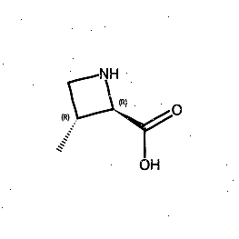 C[C@@H]1CN[C@H]1C(=O)O